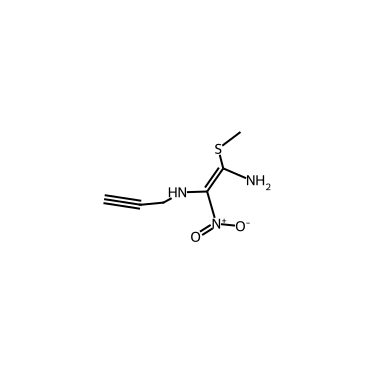 C#CCNC(=C(N)SC)[N+](=O)[O-]